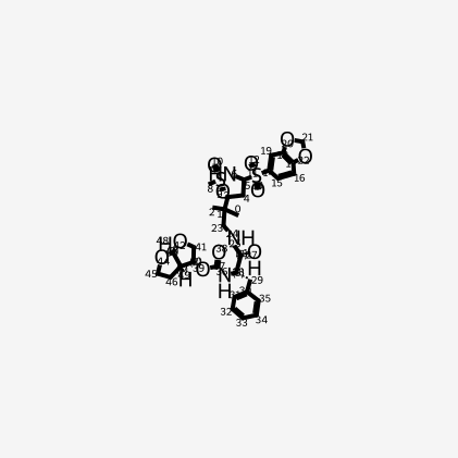 CC(C)(CCC(NS(C)(=O)=O)S(=O)(=O)c1ccc2c(c1)OCO2)CNC[C@H](O)[C@H](Cc1ccccc1)NC(=O)O[C@H]1CO[C@H]2OCC[C@H]21